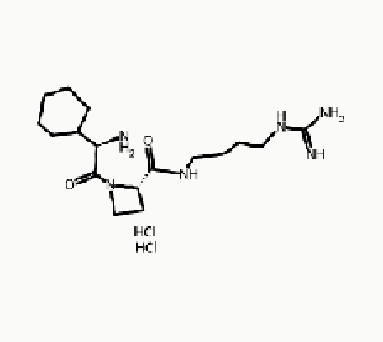 Cl.Cl.N=C(N)NCCCCNC(=O)[C@@H]1CCN1C(=O)[C@H](N)C1CCCCC1